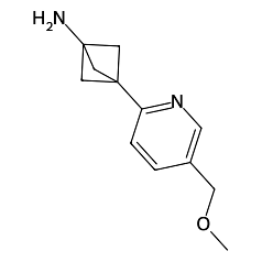 COCc1ccc(C23CC(N)(C2)C3)nc1